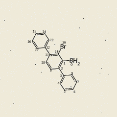 Bc1c(-c2ccccc2)ccc(-c2ccccc2)c1Br